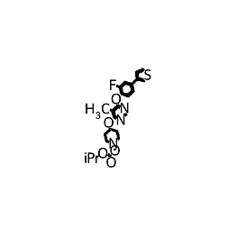 Cc1c(Oc2ccc(-c3ccsc3)cc2F)ncnc1OC1CCN(OC(=O)OC(C)C)CC1